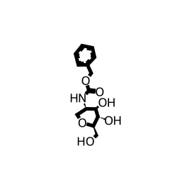 O=C(N[C@H]1CO[C@H](CO)[C@@H](O)[C@@H]1O)OCc1ccccc1